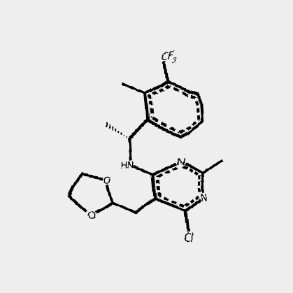 Cc1nc(Cl)c(CC2OCCO2)c(N[C@H](C)c2cccc(C(F)(F)F)c2C)n1